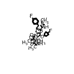 CN[C@@H](C)C(=O)N[C@H](C(=O)N1C[C@@H](Oc2ccc(F)cc2)C[C@H]1CN(CCc1ccc(F)cc1)C(=O)C1=CN(C)CN1)C(C)(C)C